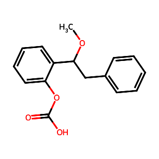 COC(Cc1ccccc1)c1ccccc1OC(=O)O